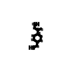 CC(CS)C1CCC(CS)CC1